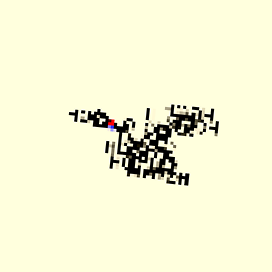 COc1cc(-c2oc3cc(O[C@@H]4OC(C)[C@H](O)C(O)[C@@H]4O)cc(O)c3c(=O)c2O[C@@H]2OC(COC(=O)/C=C/c3ccc(O)cc3)[C@@H](O)C(O)[C@@H]2O)ccc1O